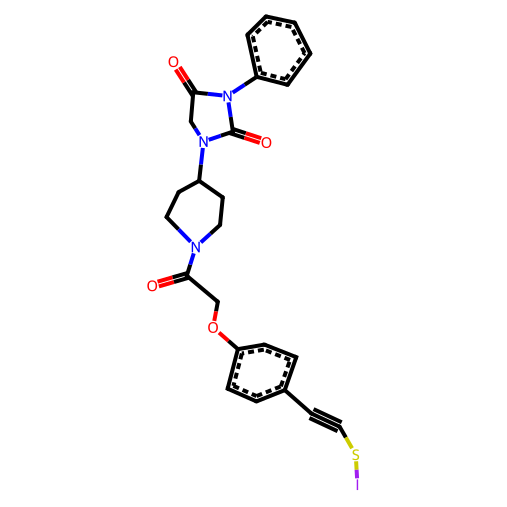 O=C(COc1ccc(C#CSI)cc1)N1CCC(N2CC(=O)N(c3ccccc3)C2=O)CC1